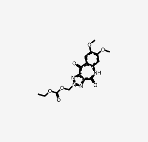 CCOC(=O)OCn1nc2c(=O)[nH]c3cc(OC)c(OC)cc3c(=O)c2n1